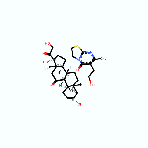 C[C@]12CC[C@@H](O)C[C@H]1CC[C@@H]1[C@@H]2C(=O)C[C@@]2(C)[C@H]1CC[C@]2(O)C(=O)CO.Cc1nc2n(c(=O)c1CCO)CCS2